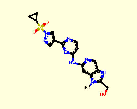 CC(C)(C)n1c(CO)nc2cnc(Nc3ccnc(-c4cnn(S(=O)(=O)C5CC5)c4)n3)cc21